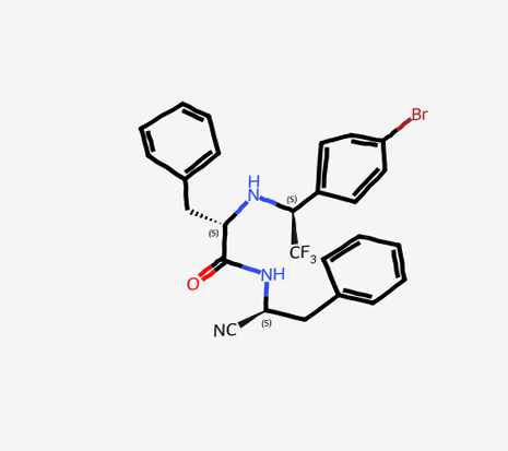 N#C[C@H](Cc1ccccc1)NC(=O)[C@H](Cc1ccccc1)N[C@@H](c1ccc(Br)cc1)C(F)(F)F